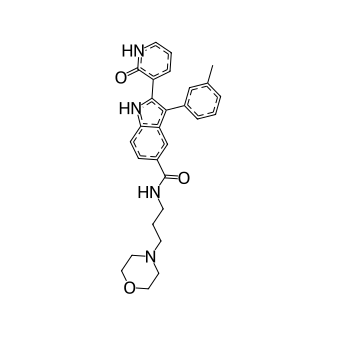 Cc1cccc(-c2c(-c3ccc[nH]c3=O)[nH]c3ccc(C(=O)NCCCN4CCOCC4)cc23)c1